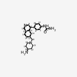 NC(=O)Nc1ccc(-c2cncc3ccc(CN4CCC(N)CC4)cc23)cc1